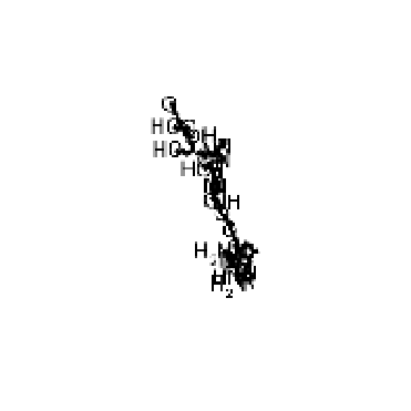 C=N/C=C(\C=N/CN1CCN(c2ncc(C(=O)NCCOCCCOCCCC(=O)N3/C=C\C(CNc4ncnc(N)c4C(=N)c4ccc5oc(N)nc5c4)=C/C(=C)CC3)cn2)CC1CO)CNC(=O)CC[C@H](CCCO)CCC(O)CC(=O)C(/C=C/CCC=O)CO